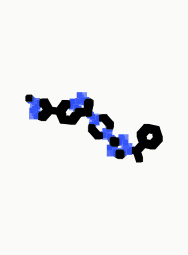 CC(c1ccccc1)n1cnc(N2CCN(c3cnn4cc(-c5cnn(C)c5)ccc34)CC2)n1